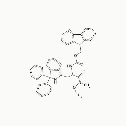 CON(C)C(=O)C(CC(=O)NC(c1ccccc1)(c1ccccc1)c1ccccc1)NC(=O)OCC1c2ccccc2-c2ccccc21